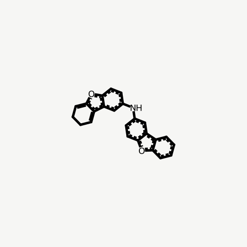 C1=c2oc3ccc(Nc4ccc5oc6ccccc6c5c4)cc3c2=CCC1